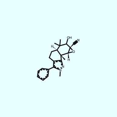 Cn1nc2c(c1-c1ccccc1)CC[C@H]1C(C)(C)C(O)[C@]3(C#N)O[C@@H]3[C@]21C